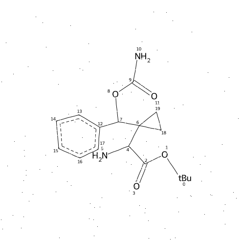 CC(C)(C)OC(=O)C(N)C1(C(OC(N)=O)c2ccccc2)CC1